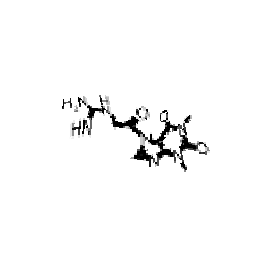 Cn1c(=O)c2c(ncn2C(=O)CNC(=N)N)n(C)c1=O